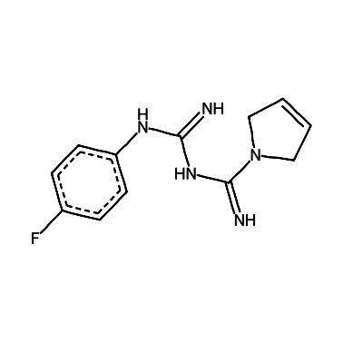 N=C(NC(=N)N1CC=CC1)Nc1ccc(F)cc1